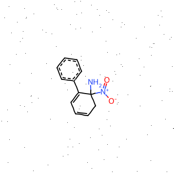 NC1([N+](=O)[O-])CC=CC=C1c1ccccc1